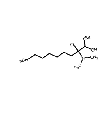 CCCCCCCCCCCCCCCCC(Cl)(C(O)CCCC)N(C)C